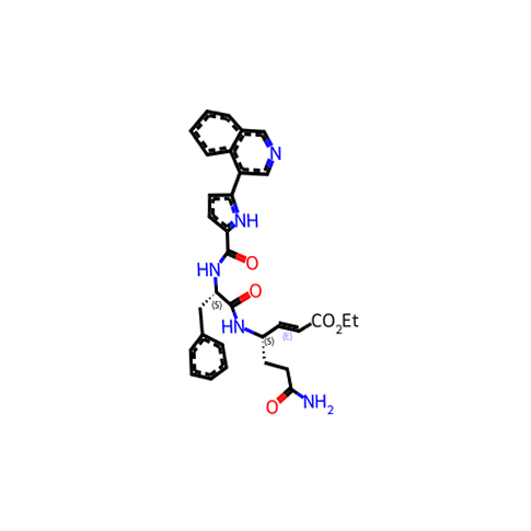 CCOC(=O)/C=C/[C@H](CCC(N)=O)NC(=O)[C@H](Cc1ccccc1)NC(=O)c1ccc(-c2cncc3ccccc23)[nH]1